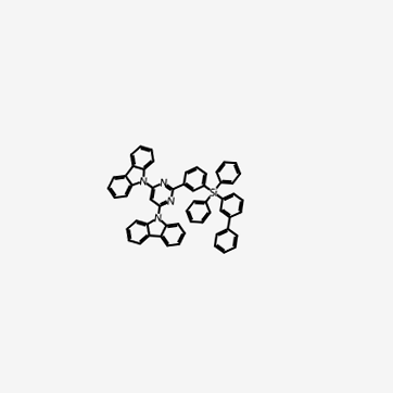 c1ccc(-c2cccc([Si](c3ccccc3)(c3ccccc3)c3cccc(-c4nc(-n5c6ccccc6c6ccccc65)cc(-n5c6ccccc6c6ccccc65)n4)c3)c2)cc1